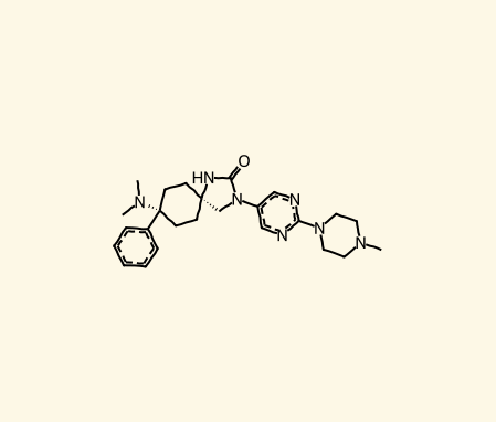 CN1CCN(c2ncc(N3C[C@]4(CC[C@@](c5ccccc5)(N(C)C)CC4)NC3=O)cn2)CC1